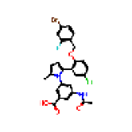 CC(=O)Nc1cc(C(=O)O)cc(-n2c(C)ccc2-c2cc(Cl)ccc2OCc2ccc(Br)cc2F)c1